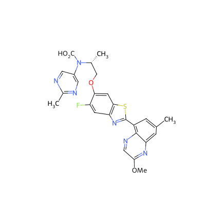 COc1cnc2c(-c3nc4cc(F)c(OC[C@@H](C)N(C(=O)O)c5cnc(C)nc5)cc4s3)cc(C)cc2n1